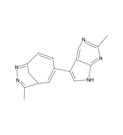 CC1=NN=C2C=CC(c3c[nH]c4nc(C)ncc34)=CC1C2